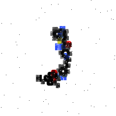 CC(C)(C)OC(=O)Nc1ccc(CCCN2CCC(NC(=O)C3=Cc4cnc5cccc(n45)S3)CC2)cc1